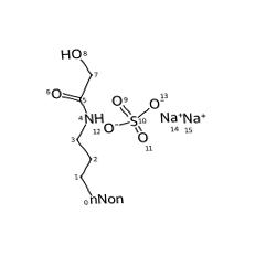 CCCCCCCCCCCCNC(=O)CO.O=S(=O)([O-])[O-].[Na+].[Na+]